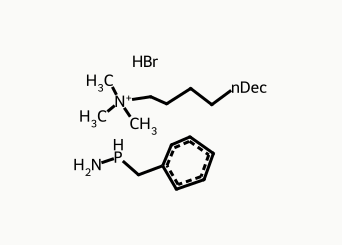 Br.CCCCCCCCCCCCCC[N+](C)(C)C.NPCc1ccccc1